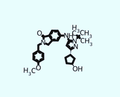 COc1ccc(CN2Cc3cc(Nc4cc([C@H]5CC[C@@H](O)C5)nn4C(C)(C)C)ccc3C2=O)cc1